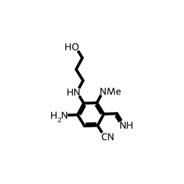 CNc1c(C=N)c(C#N)cc(N)c1NCCCO